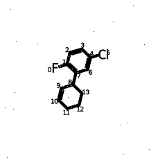 Fc1ccc(Cl)cc1C1C=CCCC1